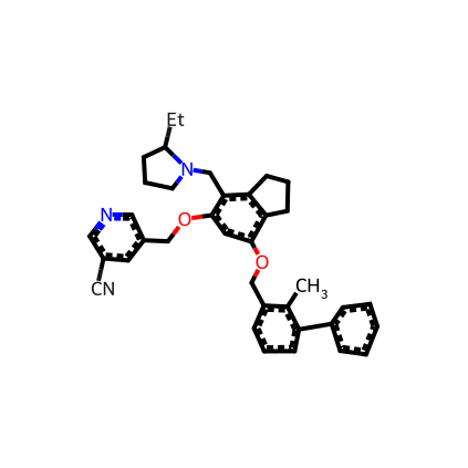 CCC1CCCN1Cc1c(OCc2cncc(C#N)c2)cc(OCc2cccc(-c3ccccc3)c2C)c2c1CCC2